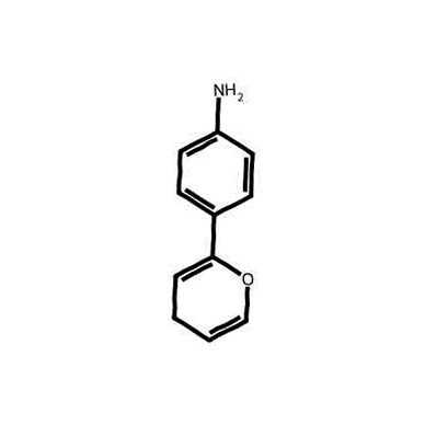 Nc1ccc(C2=CCC=CO2)cc1